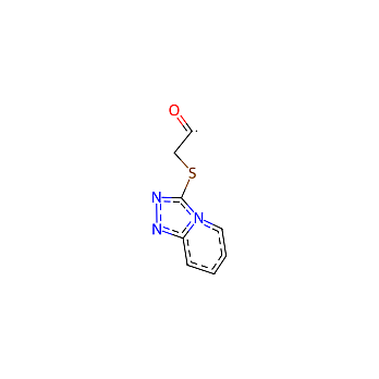 O=[C]CSc1nnc2ccccn12